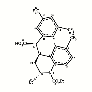 CCOC(=O)N1c2ccc(C(F)(F)F)cc2[C@H]([C@@H](C(=O)O)c2cc(C(F)(F)F)cc(C(F)(F)F)c2)C[C@H]1CC